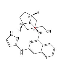 N#CCCN1[C@@H]2CC[C@H]1C[C@H](Nc1nc(Nc3cc[nH]n3)cc3ncccc13)C2